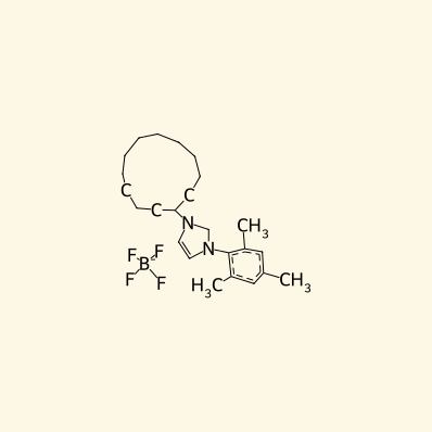 Cc1cc(C)c(N2C=CN(C3CCCCCCCCCCC3)C2)c(C)c1.F[B-](F)(F)F